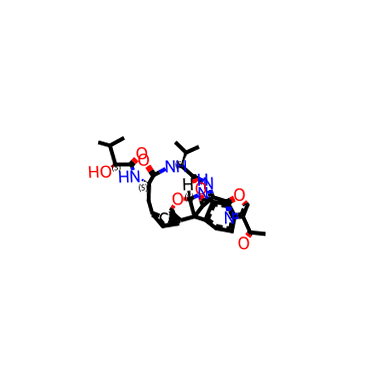 CC(=O)c1coc(-c2nc3oc2C24c5ccccc5N[C@H]2Oc2ccc(cc24)C[C@H](NC(=O)[C@@H](O)C(C)C)C(=O)N[C@H]3C(C)C)n1